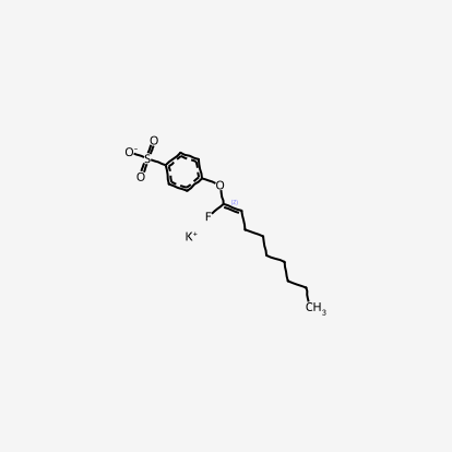 CCCCCCC/C=C(\F)Oc1ccc(S(=O)(=O)[O-])cc1.[K+]